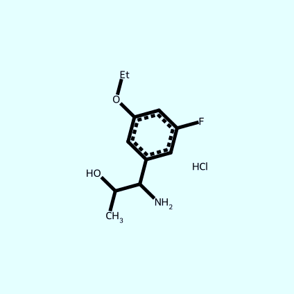 CCOc1cc(F)cc(C(N)C(C)O)c1.Cl